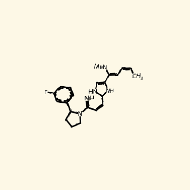 C/C=C\C=C(/NC)C1=CNC(/C=C\C(=N)N2CCCC2c2cccc(F)c2)N1